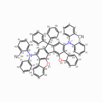 N#Cc1ccccc1N(c1ccccc1)c1cc2c(c3oc4ccccc4c13)-c1c(cc(N(c3ccccc3)c3ccccc3C#N)c3c1oc1ccccc13)C2(c1ccccc1)c1ccccc1